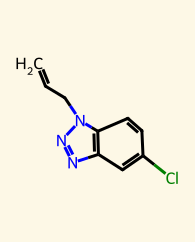 C=CCn1nnc2cc(Cl)ccc21